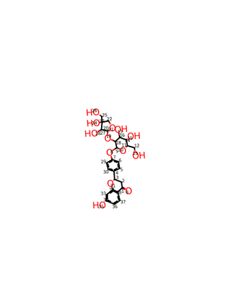 O=C1CC(c2ccc(OC3OC(CO)C(O)C(O)C3OC3OCC(O)(CO)C3O)cc2)Oc2cc(O)ccc21